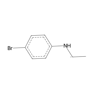 C[CH]Nc1ccc(Br)cc1